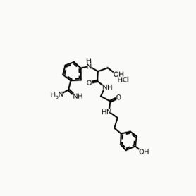 Cl.N=C(N)c1cccc(NC(CO)C(=O)NCC(=O)NCCc2ccc(O)cc2)c1